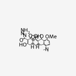 COc1ccc(N(C)C)c2c1C(=O)C1=C(O)[C@]3(O)C(=O)C(C(=O)N=NN)=C(O)C[C@@H]3C[C@@H]1C2